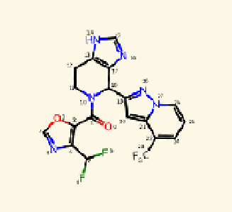 O=C(c1ocnc1C(F)F)N1CCc2[nH]cnc2C1c1cc2c(C(F)(F)F)cccn2n1